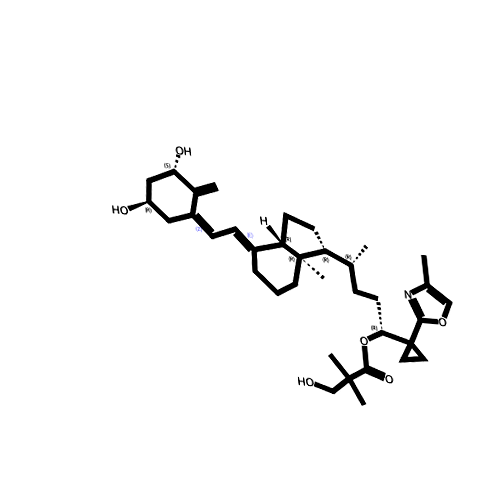 C=C1/C(=C\C=C2/CCC[C@]3(C)[C@@H]([C@H](C)CC[C@@H](OC(=O)C(C)(C)CO)C4(c5nc(C)co5)CC4)CC[C@@H]23)C[C@@H](O)C[C@@H]1O